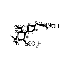 Cc1sc2c(c1C)C(c1ccc(CC#CCNO)cc1)=NC(CC(=O)O)c1nnc(C)n1-2